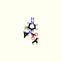 CC(C)(C)OC(=O)N(C1CC1)[C@@H]1CCNC[C@H]1F